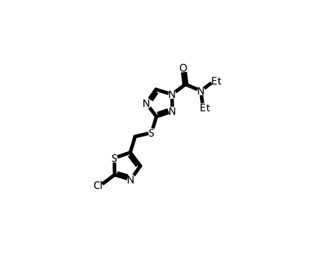 CCN(CC)C(=O)n1cnc(SCc2cnc(Cl)s2)n1